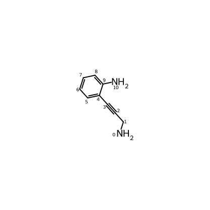 NCC#Cc1ccccc1N